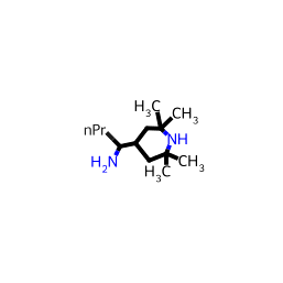 CCCC(N)C1CC(C)(C)NC(C)(C)C1